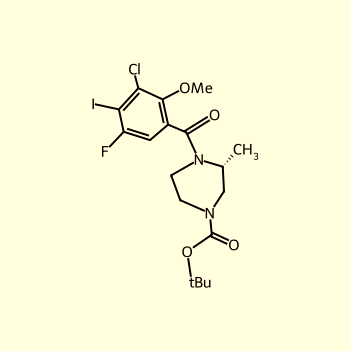 COc1c(C(=O)N2CCN(C(=O)OC(C)(C)C)C[C@H]2C)cc(F)c(I)c1Cl